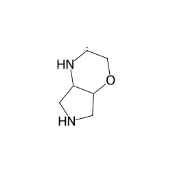 [CH]1COC2CNCC2N1